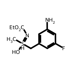 CCOC(=O)N=[SH](C)(O)Cc1cc(N)cc(F)c1